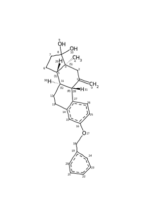 C=C1C[C@@]2(C)[C@@H](CCC2(O)O)[C@@H]2CCc3cc(OCc4ccccc4)ccc3[C@@H]12